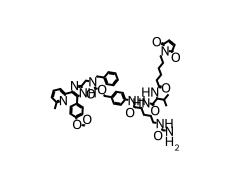 Cc1cccc(-c2nc(CN(Cc3ccccc3)C(=O)OCc3ccc(NC(=O)C(CCCNC(N)=O)NC(=O)[C@@H](NC(=O)CCCCCN4C(=O)C=CC4=O)C(C)C)cc3)[nH]c2-c2ccc3c(c2)OCO3)n1